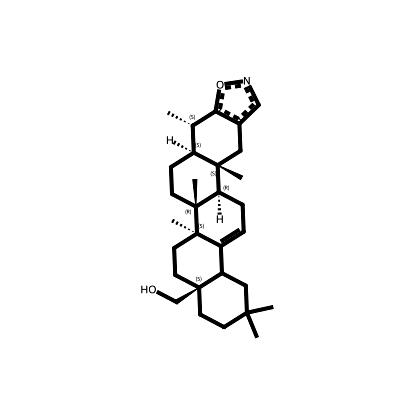 C[C@@H]1c2oncc2C[C@]2(C)[C@H]3CC=C4C5CC(C)(C)CC[C@]5(CO)CC[C@@]4(C)[C@]3(C)CC[C@@H]12